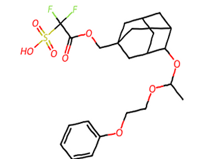 CC(OCCOc1ccccc1)OC1C2CC3CC1CC(COC(=O)C(F)(F)S(=O)(=O)O)(C3)C2